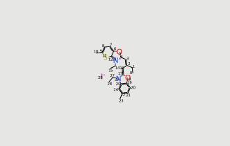 CCC(=CC1OC2=CC=C(C)SC2=[N+]1CC)C=C1Oc2ccc(C)cc2N1CC.[I-]